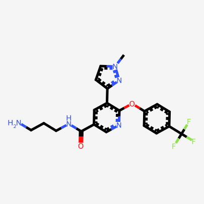 Cn1ccc(-c2cc(C(=O)NCCCN)cnc2Oc2ccc(C(F)(F)F)cc2)n1